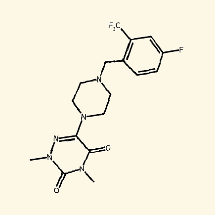 Cn1nc(N2CCN(Cc3ccc(F)cc3C(F)(F)F)CC2)c(=O)n(C)c1=O